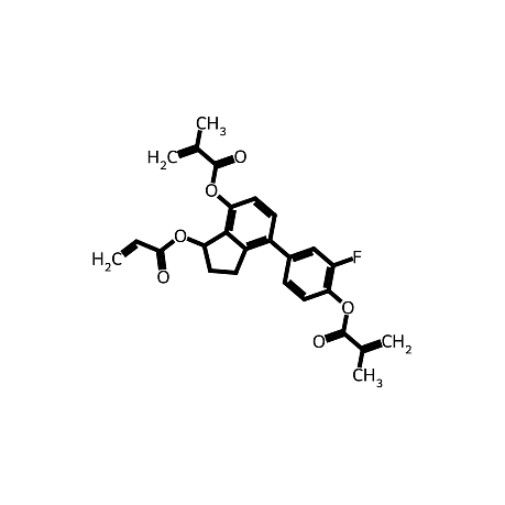 C=CC(=O)OC1CCc2c(-c3ccc(OC(=O)C(=C)C)c(F)c3)ccc(OC(=O)C(=C)C)c21